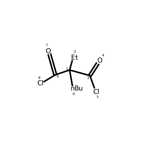 CCCCC(CC)(C(=O)Cl)C(=O)Cl